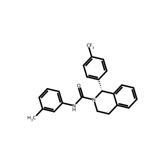 Cc1cccc(NC(=O)N2CCc3ccccc3[C@H]2c2ccc(C(F)(F)F)cc2)c1